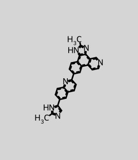 Cc1ncc(-c2ccc3nc(-c4ccc5c(c4)c4ccncc4c4nc(C)[nH]c54)ccc3c2)[nH]1